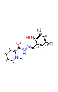 CN1CCCCC1C(=O)N/N=C/c1cc(Cl)cc(Cl)c1O